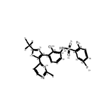 Cc1nccc(-c2sc(C(C)(C)C)nc2-c2cccc(NS(=O)(=O)c3cc(F)ccc3F)c2Cl)n1